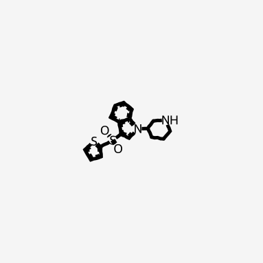 O=S(=O)(c1cccs1)c1cn(C2CCCNC2)c2ccccc12